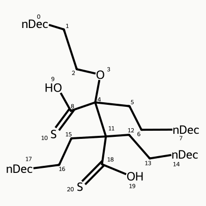 CCCCCCCCCCCCOC(CCCCCCCCCCCC)(C(O)=S)C(CCCCCCCCCCCC)(CCCCCCCCCCCC)C(O)=S